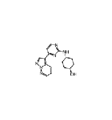 O[C@H]1CC[C@H](Nc2nccc(-c3cnn4ncccc34)n2)CC1